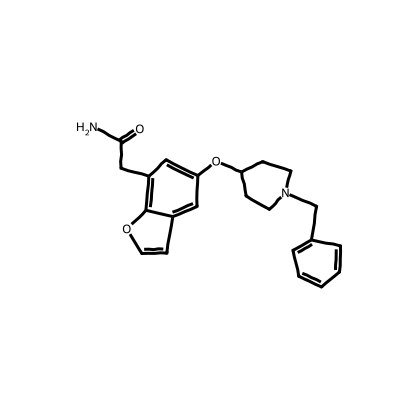 NC(=O)Cc1cc(OC2CCN(Cc3ccccc3)CC2)cc2ccoc12